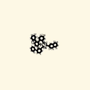 c1ccc(-c2cccc(-c3nc(-c4ccc5ccccc5c4)nc(-c4ccccc4-c4cccc5oc6ccccc6c45)n3)c2)cc1